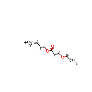 [CH2]CCCOC(=O)CCOCC